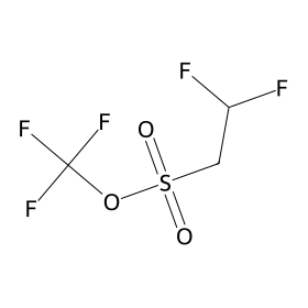 O=S(=O)(CC(F)F)OC(F)(F)F